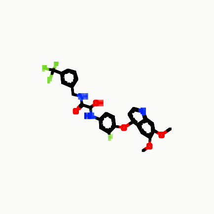 COc1cc2nccc(Oc3ccc(NC(O)C(=O)NCc4cccc(C(F)(F)F)c4)cc3F)c2cc1OC